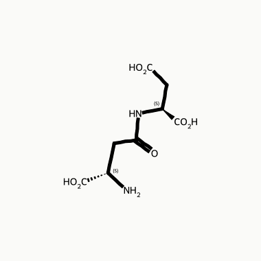 N[C@@H](CC(=O)N[C@@H](CC(=O)O)C(=O)O)C(=O)O